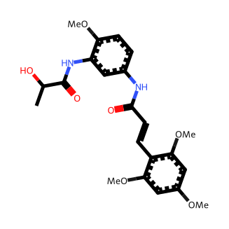 COc1cc(OC)c(C=CC(=O)Nc2ccc(OC)c(NC(=O)C(C)O)c2)c(OC)c1